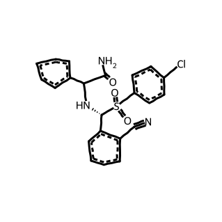 N#Cc1ccccc1[C@H](NC(C(N)=O)c1ccccc1)S(=O)(=O)c1ccc(Cl)cc1